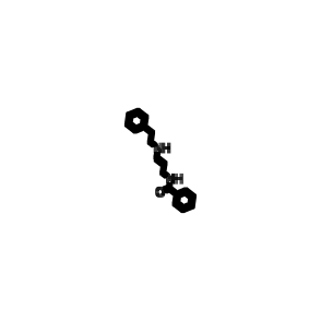 O=C(NCC=CNCCc1ccccc1)c1ccccc1